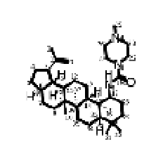 C=C(C)[C@@H]1CC[C@@H]2CC[C@]3(C)[C@H](CC[C@@H]4[C@@]5(C)C(NC(=O)N6CCN(C)CC6)CCC(C)(C)[C@@H]5CC[C@]43C)[C@H]21